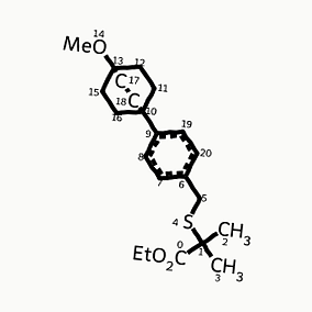 CCOC(=O)C(C)(C)SCc1ccc(C23CCC(OC)(CC2)CC3)cc1